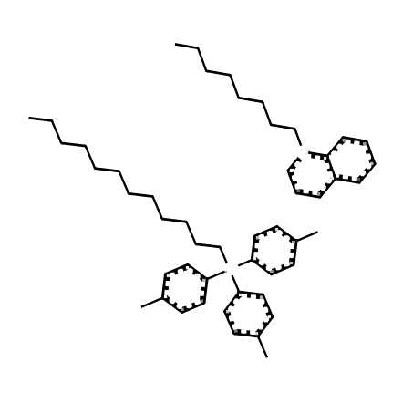 CCCCCCCCCCCC[B-](c1ccc(C)cc1)(c1ccc(C)cc1)c1ccc(C)cc1.CCCCCCCC[n+]1cccc2ccccc21